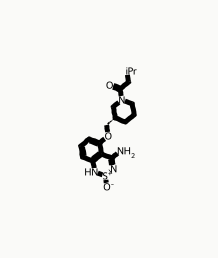 CC(C)CC(=O)N1CCC[C@H](COc2cccc3c2C(N)=N[S+]([O-])N3)C1